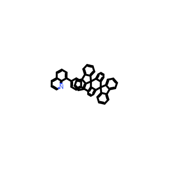 c1ccc2c(c1)-c1ccccc1C21c2ccccc2C2(c3ccccc3-c3ccccc32)c2c(-c3ccc(-c4cccc5cccnc45)cc3)cccc21